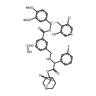 COc1ccc([C@H](Cc2c(Cl)cncc2Cl)OC(=O)c2cccc(CNC(C(=O)O[C@H]3CN4CCC3CC4)c3cccc(F)c3)c2)cc1OC.O=CO